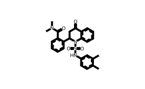 Cc1ccc(NS(=O)(=O)N2c3ccccc3C(=O)CC2c2ccccc2C(=O)N(C)C)cc1C